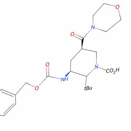 CC(C)(C)C1[C@@H](NC(=O)OCc2ccccc2)C[C@@H](C(=O)N2CCOCC2)CN1C(=O)O